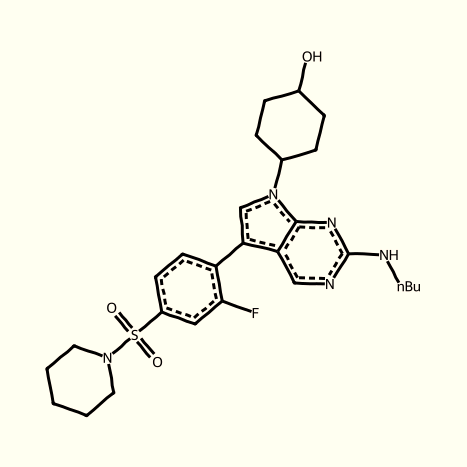 CCCCNc1ncc2c(-c3ccc(S(=O)(=O)N4CCCCC4)cc3F)cn(C3CCC(O)CC3)c2n1